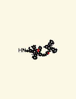 CCc1cc2c3c(sc2cc1C(C)(C)CCNC)B1c2cc4c(cc2N(c2ccc(C(C)(C)CC(C)(C)c5ccc(C(C)[C@H]6Cc7cc(C)ccc7B(c7ccc8c(c7)C(C)(C)CCC8(C)C)c7sc8cc9c(cc8c76)C(C)(C)CCC9(C)C)cc5)cc2-c2ccc5ccccc5c2)c2cc(C)cc(c21)N3c1cc(C)cc(C)c1)C(C)(C)CCC4(C)C